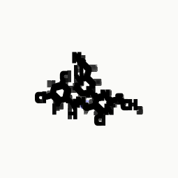 CSc1nc(Cl)c(/C=N/Nc2cc(Cl)cc(Cl)c2F)c(N2CCNC(CC#N)C2)n1